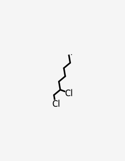 [CH2]CCCCC(Cl)CCl